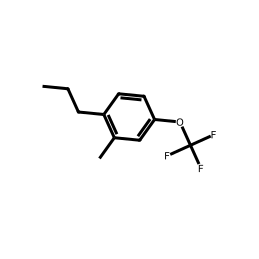 CCCc1ccc(OC(F)(F)F)cc1C